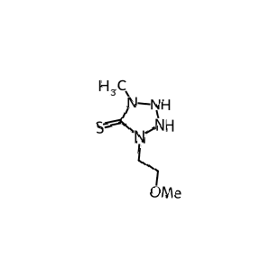 COCCN1NNN(C)C1=S